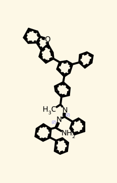 CC(/N=C(\N=C(/N)c1ccccc1-c1ccccc1)c1ccccc1)c1ccc(-c2cc(-c3ccccc3)cc(-c3ccc4c(c3)oc3ccccc34)c2)cc1